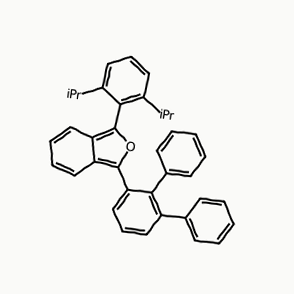 CC(C)c1cccc(C(C)C)c1-c1oc(-c2cccc(-c3ccccc3)c2-c2ccccc2)c2ccccc12